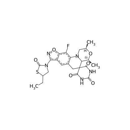 CCC1CN(c2noc3c(F)c4c(cc23)CC2(C(=O)NC(=O)NC2=O)C2[C@H](C)O[C@H](C)CN42)C(=O)S1